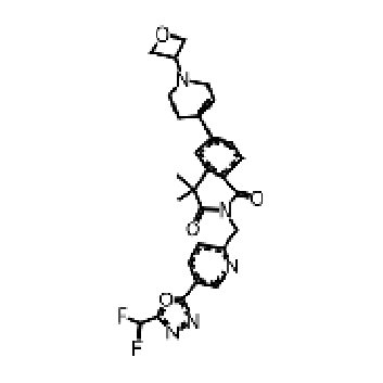 CC1(C)C(=O)N(Cc2ccc(-c3nnc(C(F)F)o3)cn2)C(=O)c2ccc(C3=CCN(C4COC4)CC3)cc21